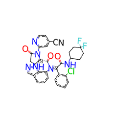 N#Cc1ccnc(N2C(=O)CC[C@H]2C(=O)N(c2cccc3cn[nH]c23)[C@H](C(=O)NC2CCC(F)(F)CC2)c2ccccc2Cl)c1